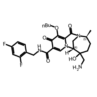 CCCCOc1c2n(cc(C(=O)NCc3ccc(F)cc3F)c1=O)[C@@H]1CN(C2=O)[C@@H](C)CCC1(O)CN